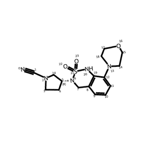 N#CN1CC[C@@H](N2Cc3cccc(N4CCOCC4)c3NS2(=O)=O)C1